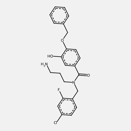 NCCCN(Cc1ccc(Cl)cc1F)C(=O)c1ccc(OCc2ccccc2)c(O)c1